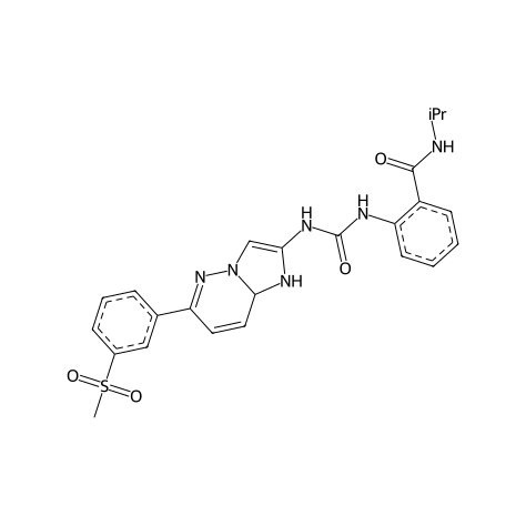 CC(C)NC(=O)c1ccccc1NC(=O)NC1=CN2N=C(c3cccc(S(C)(=O)=O)c3)C=CC2N1